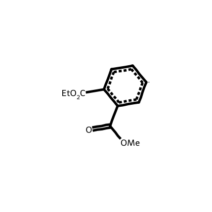 CCOC(=O)c1cc[c]cc1C(=O)OC